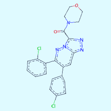 O=C(c1nnc2cc(-c3ccc(Cl)cc3)c(-c3ccccc3Cl)nn12)N1CCOCC1